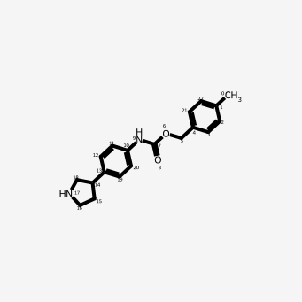 Cc1ccc(COC(=O)Nc2ccc(C3CCNC3)cc2)cc1